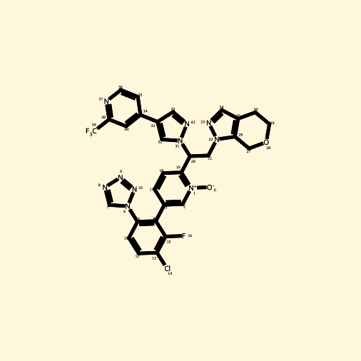 [O-][n+]1cc(-c2c(-n3cnnn3)ccc(Cl)c2F)ccc1C(Cn1ncc2c1COCC2)n1cc(-c2ccnc(C(F)(F)F)c2)cn1